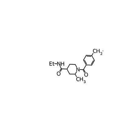 [CH2]c1ccc(C(=O)N2CCC(C(=O)NCC)CC2C)cc1